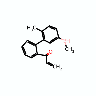 C=CC(=O)c1ccccc1-c1cc(BC)ccc1C